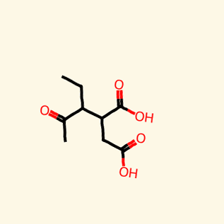 CCC(C(C)=O)C(CC(=O)O)C(=O)O